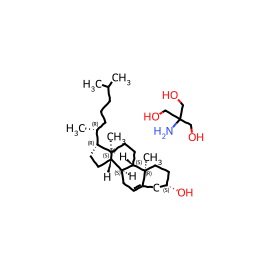 CC(C)CCC[C@@H](C)[C@H]1CC[C@H]2[C@@H]3CC=C4C[C@@H](O)CC[C@]4(C)[C@H]3CC[C@]12C.NC(CO)(CO)CO